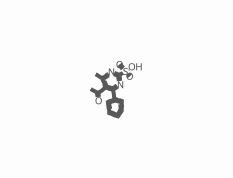 CC(=O)c1c(C)nc(S(=O)(=O)O)nc1-c1ccccc1